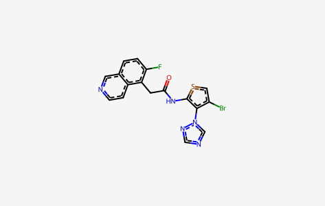 O=C(Cc1c(F)ccc2cnccc12)Nc1scc(Br)c1-n1cncn1